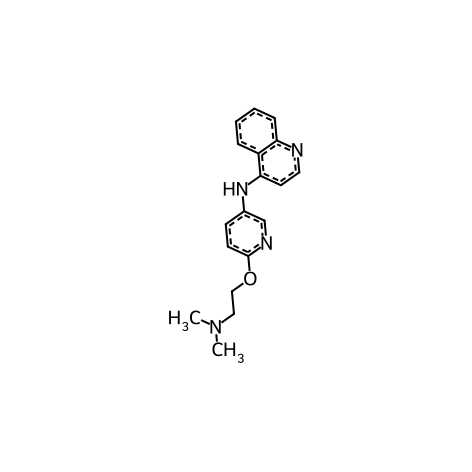 CN(C)CCOc1ccc(Nc2ccnc3ccccc23)cn1